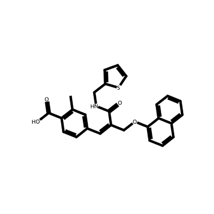 Cc1cc(C=C(COc2cccc3ccccc23)C(=O)NCc2cccs2)ccc1C(=O)O